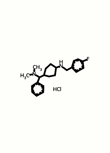 CN(C)C(c1ccccc1)C1CCC(NCc2ccc(F)cc2)CC1.Cl